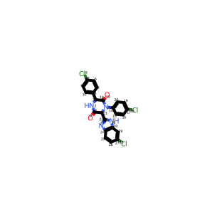 O=C1NC(c2ccc(Cl)cc2)C(=O)N(c2ccc(Cl)cc2)C1c1nc2ccc(Cl)cc2[nH]1